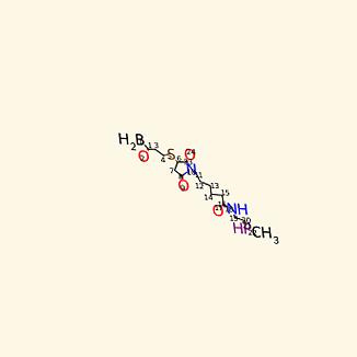 BC(=O)CCSC1CC(=O)N(CCCCCC(=O)NCCPC)C1=O